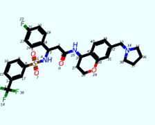 O=C(CC(NS(=O)(=O)c1cccc(C(F)(F)F)c1)c1ccc(F)cc1)NC1CCOc2cc(CN3CCCC3)ccc21